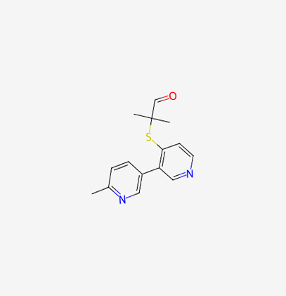 Cc1ccc(-c2cnccc2SC(C)(C)C=O)cn1